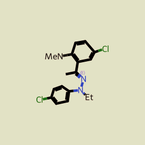 CCN(/N=C(\C)c1cc(Cl)ccc1NC)c1ccc(Cl)cc1